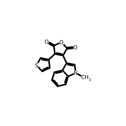 Cn1cc(C2=C(c3ccsc3)C(=O)OC2=O)c2ccccc21